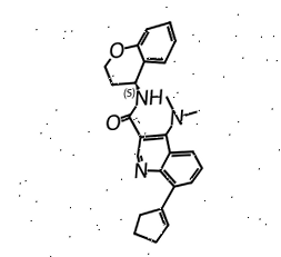 CN(C)c1c(C(=O)N[C@H]2CCOc3ccccc32)cnc2c(C3=CCCC3)cccc12